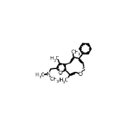 CC1=C\c2c(oc(CN(C)C)c2C)/C(C)=C/OS/C=C\1c1ccccc1